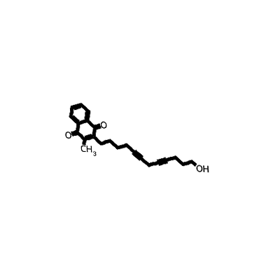 CC1=C(CCCCC#CCC#CCCCO)C(=O)c2ccccc2C1=O